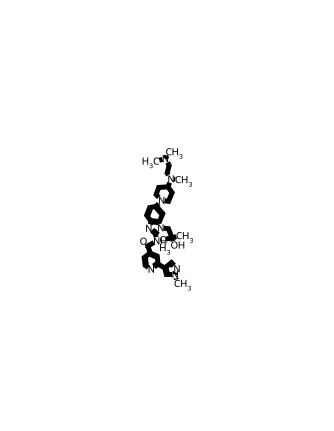 CN(C)CCN(C)C1CCN(c2ccc3nc(NC(=O)c4ccnc(-c5cnn(C)c5)c4)n(CC(C)(C)O)c3c2)CC1